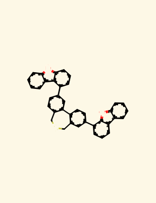 c1ccc2c(c1)oc1c(-c3ccc4c(c3)CSCc3ccc(-c5cccc6oc7ccccc7c56)cc3-4)cccc12